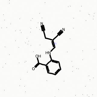 N#CC/C(C#N)=C\Nc1ccccc1C(=O)O